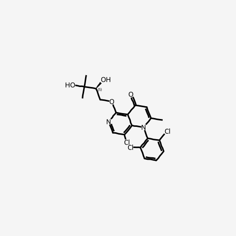 Cc1cc(=O)c2c(OC[C@H](O)C(C)(C)O)ncc(Cl)c2n1-c1c(Cl)cccc1Cl